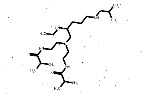 CCNC(CCCNCC(C)C)CN(CCNC(=O)C(C)C)CCNC(=O)C(C)C